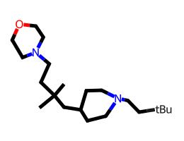 CC(C)(C)CCN1CCC(CC(C)(C)CCN2CCOCC2)CC1